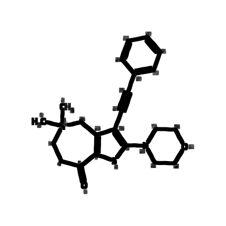 C[N+]1(C)CCC(=O)c2sc(N3CCOCC3)c(C#Cc3ccccc3)c2C1